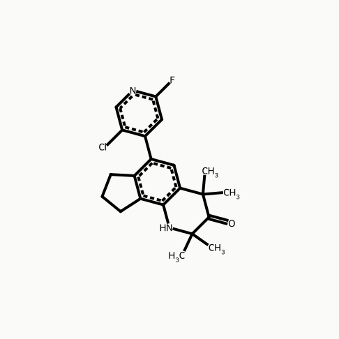 CC1(C)Nc2c(cc(-c3cc(F)ncc3Cl)c3c2CCC3)C(C)(C)C1=O